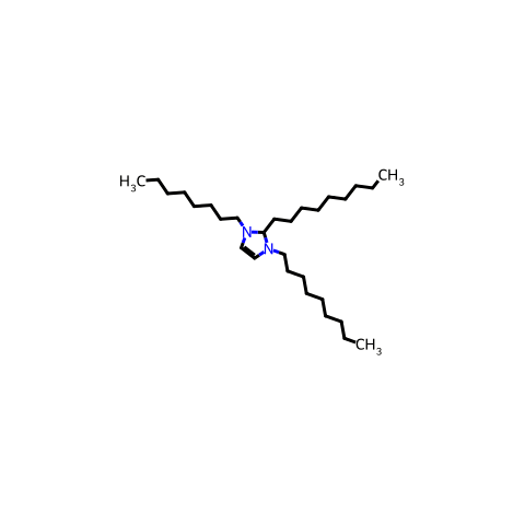 CCCCCCCCCC1N(CCCCCCCC)C=CN1CCCCCCCCC